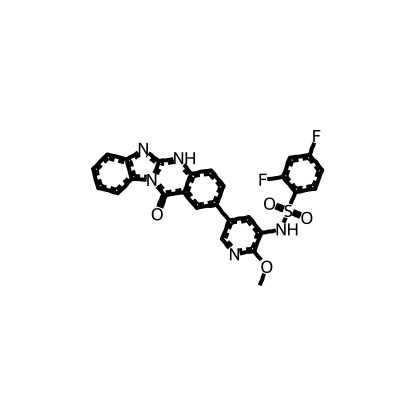 COc1ncc(-c2ccc3[nH]c4nc5ccccc5n4c(=O)c3c2)cc1NS(=O)(=O)c1ccc(F)cc1F